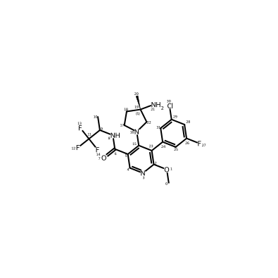 COc1ncc(C(=O)NC(C)C(F)(F)F)c(N2CC[C@](C)(N)C2)c1-c1cc(F)cc(Cl)c1